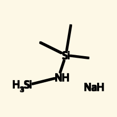 C[Si](C)(C)N[SiH3].[NaH]